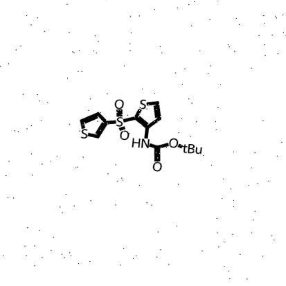 CC(C)(C)OC(=O)Nc1ccsc1S(=O)(=O)c1ccsc1